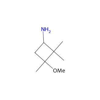 COC1(C)CC(N)C1(C)C